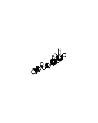 O=C1CC[C@@H](c2c(F)cc(N3CC(OC(=O)N4CC5(COC5)C4)C3)cc2F)C(=O)N1